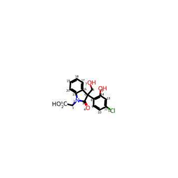 O=C(O)CN1C(=O)C(CO)(c2ccc(Cl)cc2O)c2ccccc21